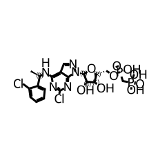 C[C@@H](Nc1nc(Cl)nc2c1cnn2[C@@H]1O[C@H](COP(=O)(O)CP(=O)(O)O)[C@@H](O)[C@H]1O)c1ccccc1Cl